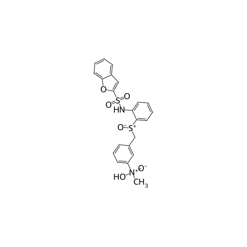 C[N+]([O-])(O)c1cccc(C[S+]([O-])c2ccccc2NS(=O)(=O)c2cc3ccccc3o2)c1